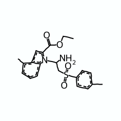 CCOC(=O)c1cc2c(C)cccc2n1C(N)CS(=O)(=O)c1ccc(C)cc1